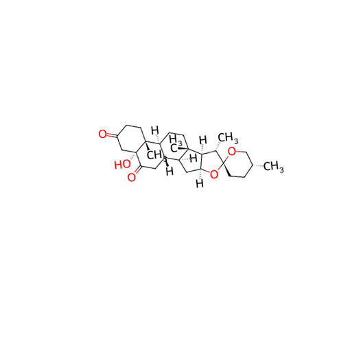 C[C@@H]1CC[C@@]2(OC1)O[C@H]1C[C@H]3[C@@H]4CC(=O)[C@@]5(O)CC(=O)CC[C@]5(C)[C@H]4CC[C@]3(C)[C@H]1[C@@H]2C